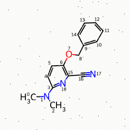 CN(C)c1ccc(OCc2ccccc2)c(C#N)n1